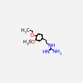 CCOc1ccc(CCNC(=N)N)cc1OC